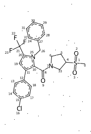 CS(=O)(=O)C1CCN(C(=O)c2c(-c3ccc(Cl)cc3)cc(C(F)(F)F)n2Cc2ccccc2)C1